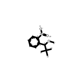 [CH2]OC(c1ccccc1[N+](=O)[O-])C(C)(C)C